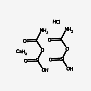 Cl.NC(=O)O[Si](=O)O.NC(=O)O[Si](=O)O.[CaH2]